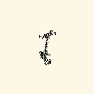 Cc1ncsc1-c1ccc(CNC(=O)[C@@H]2CC(=O)CN2C(=O)[C@@H](NC(=O)COCCOCCOCCN2CC(C)(C)C(Oc3ccc(C#N)c(C(F)(F)F)c3)C2=O)C(C)(C)C)cc1